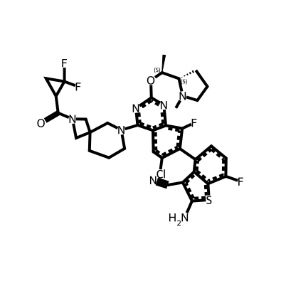 C[C@H](Oc1nc(N2CCCC3(CN(C(=O)C4CC4(F)F)C3)C2)c2cc(Cl)c(-c3ccc(F)c4sc(N)c(C#N)c34)c(F)c2n1)[C@@H]1CCCN1C